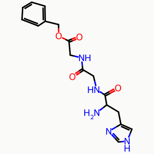 NC(Cc1c[nH]cn1)C(=O)NCC(=O)NCC(=O)OCc1ccccc1